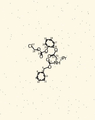 CC(C)[C@H](NC(=O)OCc1ccccc1)C(=O)Oc1ccccc1OC(=O)OCCl